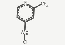 FC(F)(F)c1c[c]([Mg][Cl])ccn1